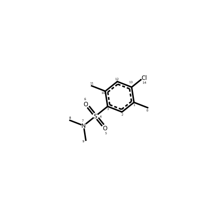 Cc1cc(S(=O)(=O)N(C)C)c(C)cc1Cl